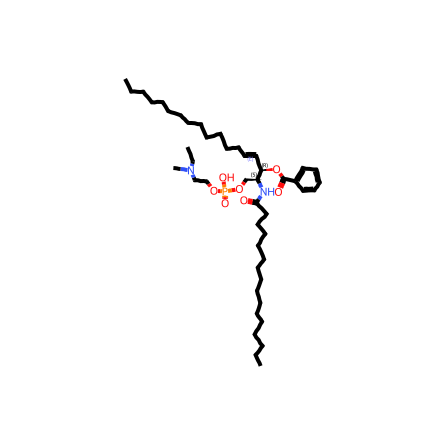 CCCCCCCCCCCCC/C=C/[C@@H](OC(=O)c1ccccc1)[C@H](COP(=O)(O)OCCN(C)CC)NC(=O)CCCCCCCCCCCCCCC